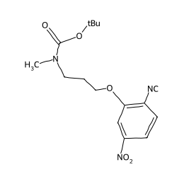 [C-]#[N+]c1ccc([N+](=O)[O-])cc1OCCCN(C)C(=O)OC(C)(C)C